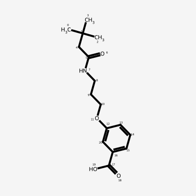 CC(C)(C)CC(=O)NCCCOc1cccc(C(=O)O)c1